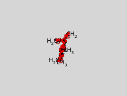 C=CC(=O)OCCc1ccc(CCC(=O)Oc2ccc(-c3ccc(COC(=O)C(=C)C)cc3)cc2OC)cc1CCOC(=O)C=C